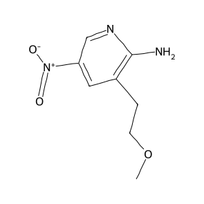 COCCc1cc([N+](=O)[O-])cnc1N